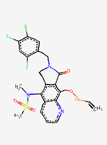 C=CPOc1c2c(c(N(C)S(C)(=O)=O)c3cccnc13)CN(Cc1cc(Cl)c(F)cc1F)C2=O